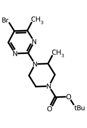 Cc1nc(N2CCN(C(=O)OC(C)(C)C)CC2C)ncc1Br